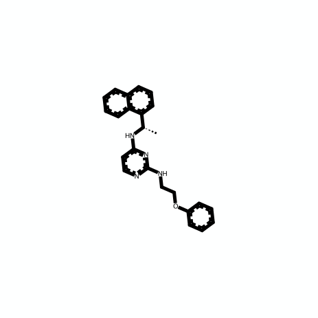 C[C@H](Nc1ccnc(NCCOc2ccccc2)n1)c1cccc2ccccc12